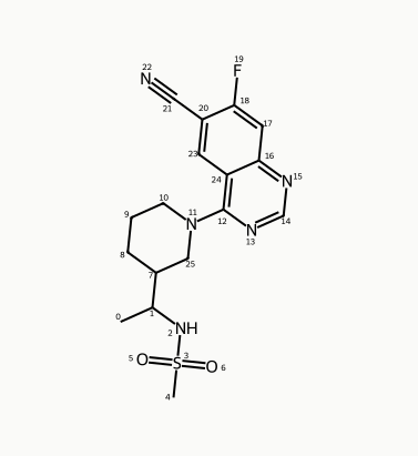 CC(NS(C)(=O)=O)C1CCCN(c2ncnc3cc(F)c(C#N)cc23)C1